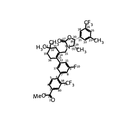 COC(=O)c1ccc(-c2cc(F)cc(C3=C(CN4C(=O)O[C@H](c5cc(C)cc(C(F)(F)F)c5)[C@@H]4C)CC(C)(C)CC3)c2)c(C(F)(F)F)c1